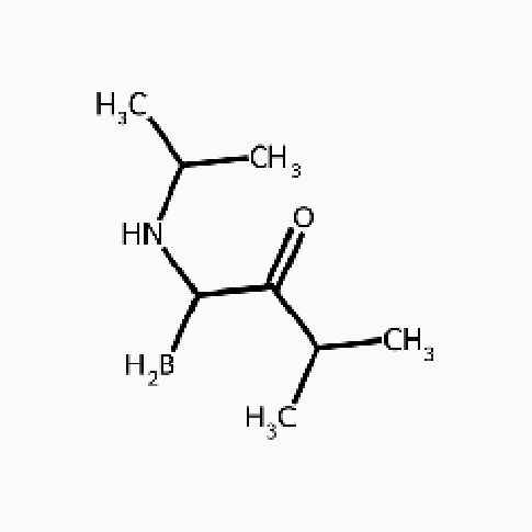 BC(NC(C)C)C(=O)C(C)C